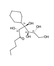 CCCCC(=O)[C@H](O)[C@](O)(C1CCCCC1)[C@H](O)[C@H](O)CO